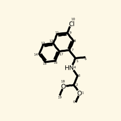 COC(CNC(C)c1cc(Cl)cc2ccccc12)OC